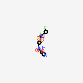 O=C(NCc1ccc(S(=O)(=O)c2csc(-c3cccc(F)c3)n2)cc1)c1cc2ccncc2o1